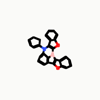 C1=CCCC(N2c3cccc4c3B(c3oc5ccccc5c32)c2c-4oc3ccccc23)=C1